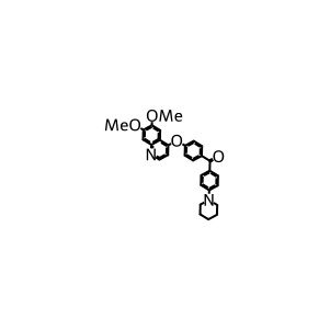 COc1cc2nccc(Oc3ccc(C(=O)c4ccc(N5CCCCC5)cc4)cc3)c2cc1OC